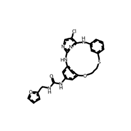 O=C(NCc1ccco1)Nc1cc2cc(c1)OCCSc1cccc(c1)Nc1nc(ncc1Cl)N2